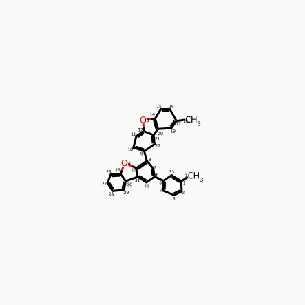 Cc1cccc(-c2cc(-c3ccc4oc5ccc(C)cc5c4c3)c3oc4ccccc4c3c2)c1